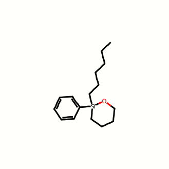 CCCCCC[Si]1(c2ccccc2)CCCCO1